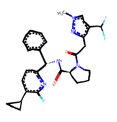 Cn1cc(C(F)F)c(CC(=O)N2CCC[C@H]2C(=O)N[C@@H](c2ccccc2)c2ccc(C3CC3)c(F)n2)n1